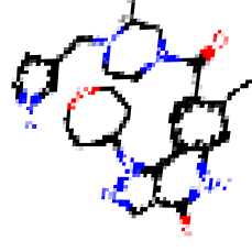 Cc1cc2[nH]c(=O)c3cnn(C4CCOCC4)c3c2cc1C(=O)N1CCN(Cc2cc[nH]c2)[C@@H](C)C1